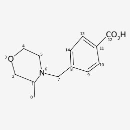 CC1COCCN1Cc1ccc(C(=O)O)cc1